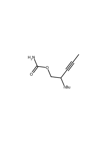 CC#CC(CCCC)COC(N)=O